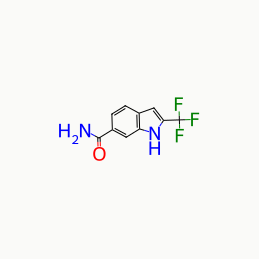 NC(=O)c1ccc2cc(C(F)(F)F)[nH]c2c1